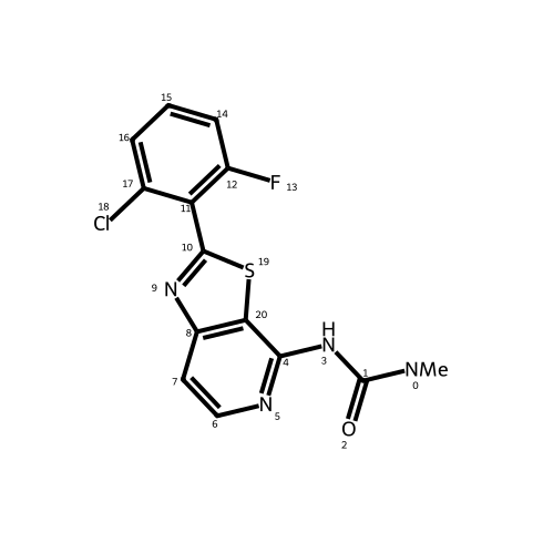 CNC(=O)Nc1nccc2nc(-c3c(F)cccc3Cl)sc12